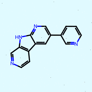 c1cncc(-c2cnc3[nH]c4cnccc4c3c2)c1